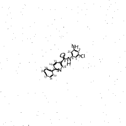 Nc1cc(Cl)cc(NC(=O)c2ccc(-c3ccccc3)nc2)c1